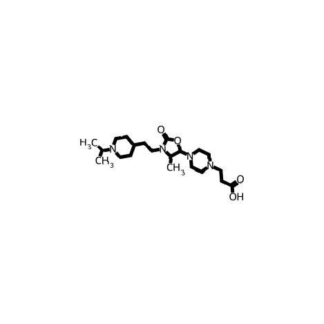 CC(C)N1CCC(CCN2C(=O)OC(N3CCN(CCC(=O)O)CC3)C2C)CC1